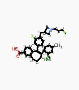 Cc1ccc(C2=C(c3ccc(CC4CN(CCCF)C4)c(F)c3)c3ccc(C(=O)O)cc3CCC2)c(Cl)c1.Cl